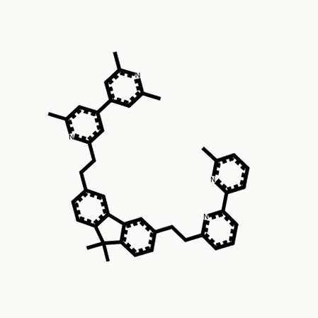 Cc1cc(-c2cc(C)nc(CCc3ccc4c(c3)-c3cc(CCc5cccc(-c6cccc(C)n6)n5)ccc3C4(C)C)c2)cc(C)n1